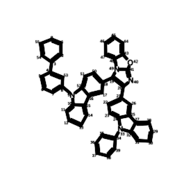 c1ccc(-c2cccc(-n3c4ccccc4c4cc(-c5c(-c6ccc7c(c6)c6ccccc6n7-c6ccccc6)nc6oc7ccccc7n56)ccc43)c2)cc1